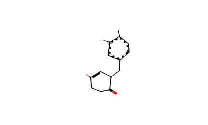 Cc1ccc(CC2C=C(O)CCC2=O)cc1Br